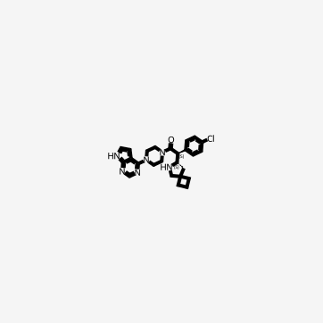 O=C([C@@H](c1ccc(Cl)cc1)[C@@H]1CC2(CCC2)CN1)N1CCN(c2ncnc3[nH]ccc23)CC1